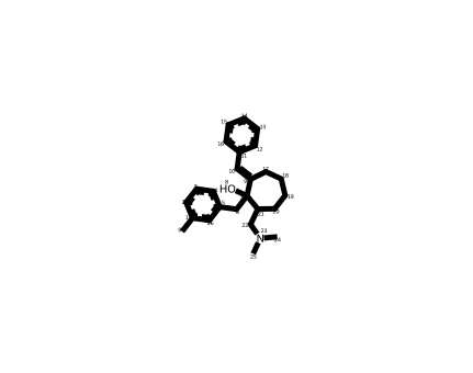 Cc1cccc(CC2(O)C(=Cc3ccccc3)CCCCC2CN(C)C)c1